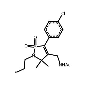 CC(=O)[N]CC1=C(c2ccc(Cl)cc2)S(=O)(=O)N(CCF)C1(C)C